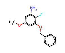 COc1cc(N)c(F)c(OCc2ccccc2)c1